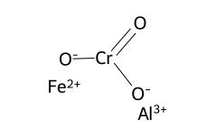 [Al+3].[Fe+2].[O]=[Cr]([O-])[O-]